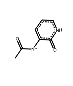 CC(=O)Nc1[c]cc[nH]c1=O